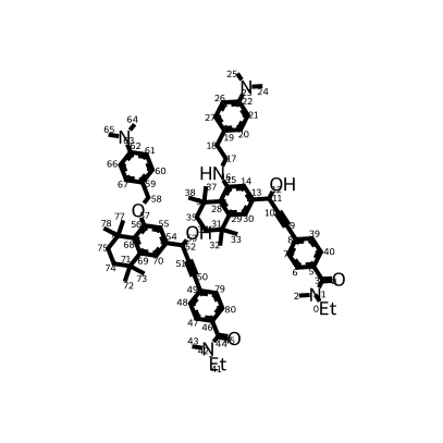 CCN(C)C(=O)c1ccc(C#CC(O)c2cc(NCCc3ccc(N(C)C)cc3)c3c(c2)C(C)(C)CCC3(C)C)cc1.CCN(C)C(=O)c1ccc(C#CC(O)c2cc(OCc3ccc(N(C)C)cc3)c3c(c2)C(C)(C)CCC3(C)C)cc1